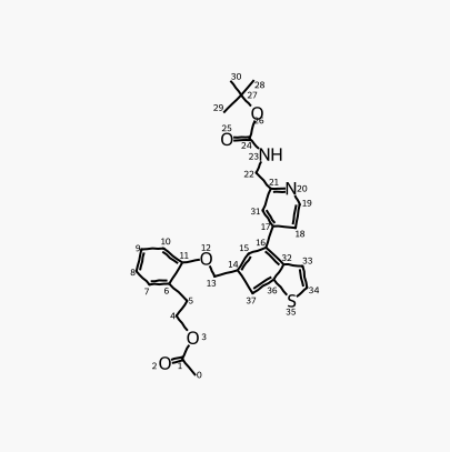 CC(=O)OCCc1ccccc1OCc1cc(-c2ccnc(CNC(=O)OC(C)(C)C)c2)c2ccsc2c1